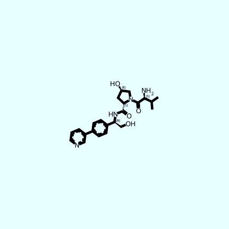 CC(C)[C@H](N)C(=O)N1C[C@H](O)C[C@H]1C(=O)N[C@@H](CO)c1ccc(-c2cccnc2)cc1